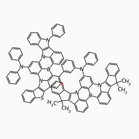 CC1(C)c2ccccc2-c2c1c1cccc3c1n2-c1cc(N(c2ccccc2)c2cccc(-c4ccc5c6sc7ccccc7c6n6c5c4B4c5c-6cc(N(c6ccccc6)c6ccccc6)cc5-n5c6c4cccc6c4c5c5ccccc5n4-c4ccccc4)c2)cc2c1B3c1cccc3c4c(n-2c13)-c1ccccc1C4(C)C